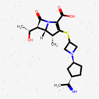 CC(=N)[C@H]1CC[C@H](N2CC(SC3=C(C(=O)O)N4C(=O)[C@H]([C@@H](C)O)[C@H]4[C@H]3C)C2)C1